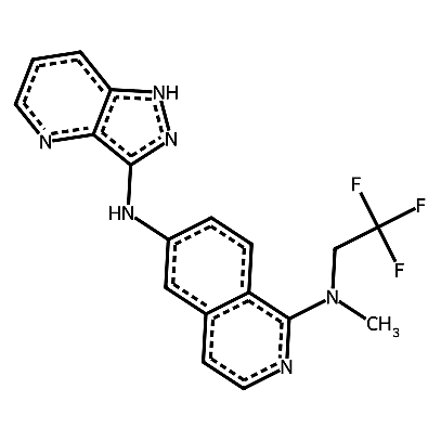 CN(CC(F)(F)F)c1nccc2cc(Nc3n[nH]c4cccnc34)ccc12